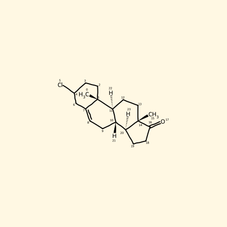 C[C@]12CCC(Cl)CC1=CC[C@@H]1[C@@H]2CC[C@]2(C)C(=O)CC[C@@H]12